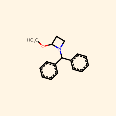 O=C(O)OC1CCN1C(c1ccccc1)c1ccccc1